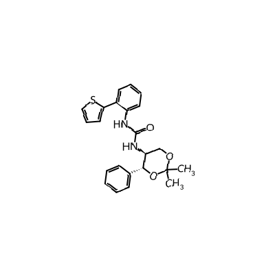 CC1(C)OC[C@H](NC(=O)Nc2ccccc2-c2cccs2)[C@@H](c2ccccc2)O1